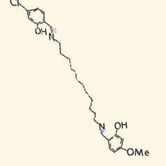 COc1ccc(/C=N/CCCCCCCCCCCC/N=C/c2ccc(Cl)cc2O)c(O)c1